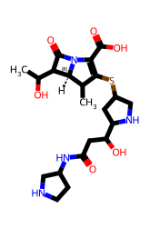 CC(O)C1C(=O)N2C(C(=O)O)=C(SC3CNC(C(O)CC(=O)NC4CCNC4)C3)C(C)[C@@H]12